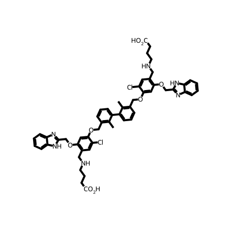 Cc1c(COc2cc(OCc3nc4ccccc4[nH]3)c(CNCCCC(=O)O)cc2Cl)cccc1-c1cccc(COc2cc(OCc3nc4ccccc4[nH]3)c(CNCCCC(=O)O)cc2Cl)c1C